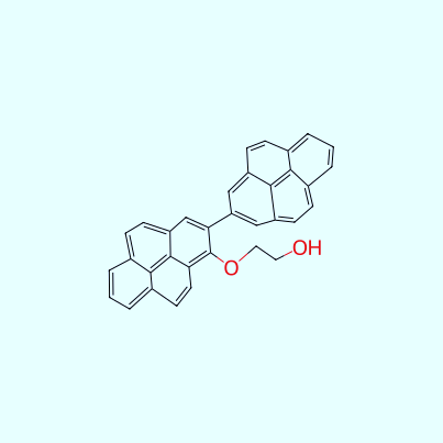 OCCOc1c(-c2cc3ccc4cccc5ccc(c2)c3c45)cc2ccc3cccc4ccc1c2c34